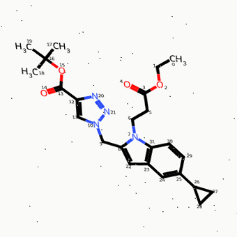 CCOC(=O)CCn1c(Cn2cc(C(=O)OC(C)(C)C)nn2)cc2cc(C3CC3)ccc21